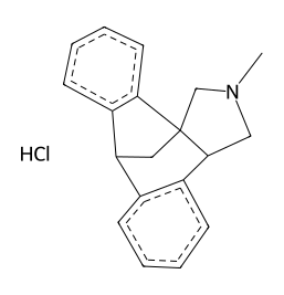 CN1CC2c3ccccc3C3CC2(C1)c1ccccc13.Cl